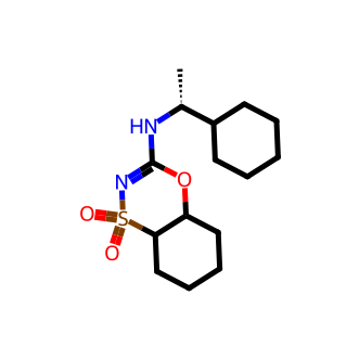 C[C@@H](NC1=NS(=O)(=O)C2CCCCC2O1)C1CCCCC1